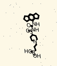 O=C(Nc1c2c(cc3c1CCC3)CCC2)N[S+]([O-])C1CCN(CCCB(O)O)CC1